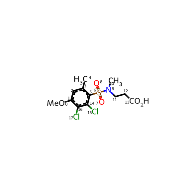 COc1cc(C)c(S(=O)(=O)N(C)CCC(=O)O)c(Cl)c1Cl